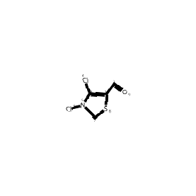 O=[C]C1=C(Cl)N(Cl)CS1